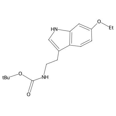 CCOc1ccc2c(CCNC(=O)OC(C)(C)C)c[nH]c2c1